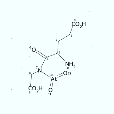 NC(CCC(=O)O)C(=O)N(CC(=O)O)[At](=O)=O